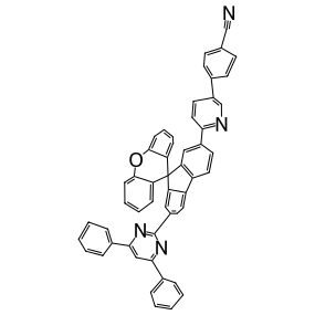 N#Cc1ccc(-c2ccc(-c3ccc4c(c3)C3(c5ccccc5Oc5ccccc53)c3cc(-c5nc(-c6ccccc6)cc(-c6ccccc6)n5)ccc3-4)nc2)cc1